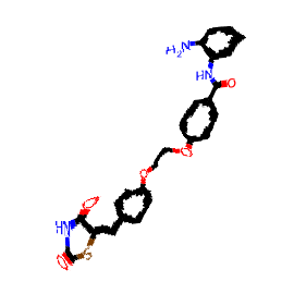 Nc1ccccc1NC(=O)c1ccc(OCCOc2ccc(/C=C3/SC(=O)NC3=O)cc2)cc1